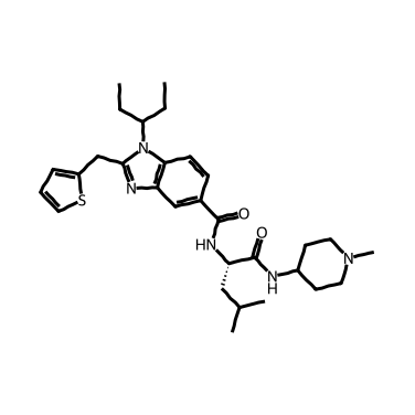 CCC(CC)n1c(Cc2cccs2)nc2cc(C(=O)N[C@@H](CC(C)C)C(=O)NC3CCN(C)CC3)ccc21